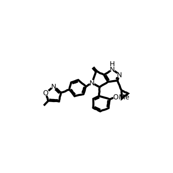 C=C1c2[nH]nc(C3CC3)c2C(c2ccccc2OC)N1c1ccc(-c2cc(C)on2)cc1